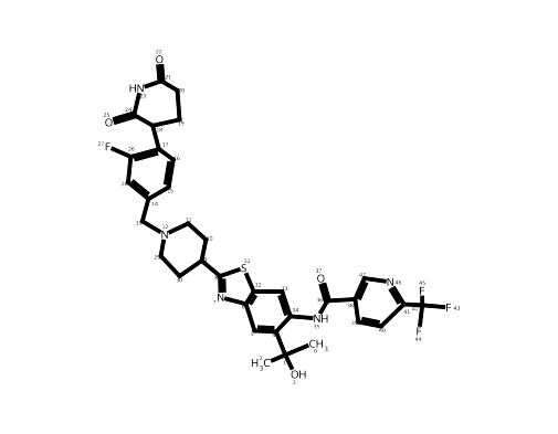 CC(C)(O)c1cc2nc(C3CCN(Cc4ccc(C5CCC(=O)NC5=O)c(F)c4)CC3)sc2cc1NC(=O)c1ccc(C(F)(F)F)nc1